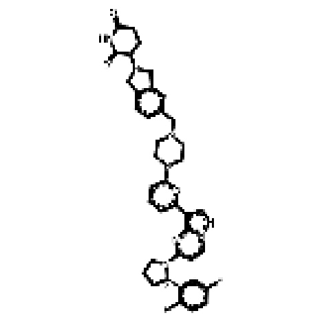 O=C1CCC(N2Cc3ccc(CN4CCN(c5cccc(-c6cnn7ccc(N8CCC[C@@H]8c8cc(F)ccc8F)nc67)n5)CC4)cc3C2)C(=O)N1